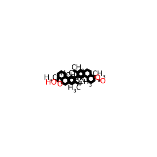 CC(C)c1cc2c(cc1-c1cc3c(cc1C(C)C)CCC1C(C)(C(=O)O)CCCC31C)C1(C)CCCC(C)(OC=O)C1CC2